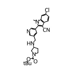 Cn1c(-c2cncc(CN[C@H]3CCN(C(=O)OC(C)(C)C)C3)c2)c(C#N)c2ccc(Cl)cc21